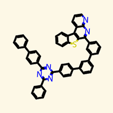 c1ccc(-c2ccc(-c3nc(-c4ccccc4)nc(-c4ccc(-c5cccc(-c6cccc(-c7nc8ncccc8c8c7sc7ccccc78)c6)c5)cc4)n3)cc2)cc1